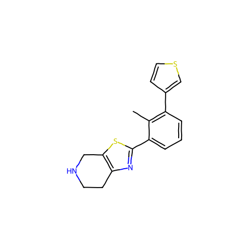 Cc1c(-c2ccsc2)cccc1-c1nc2c(s1)CNCC2